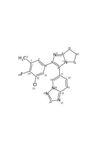 Cc1cc(-c2nc3n(c2-c2ccc4ncnn4c2)CCC3)cc(Cl)c1F